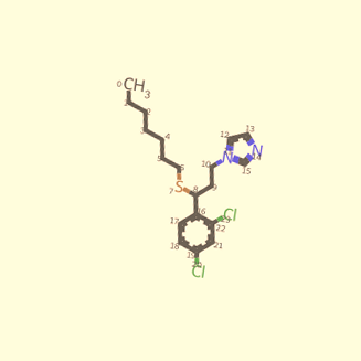 CCCCCCCSC(CCn1ccnc1)c1ccc(Cl)cc1Cl